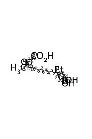 CCC(CCCCCCCCCCCC(C)C(=O)OCCC(=O)O)c1ccc(B(O)O)cc1